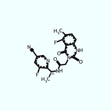 Cc1ccc2[nH]c(=O)n(CC(=O)N[C@@H](C)c3ncc(C#N)cc3F)c(=O)c2c1F